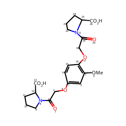 COc1cc(OCC(=O)N2CCCC2C(=O)O)ccc1OCC(=O)N1CCCC1C(=O)O